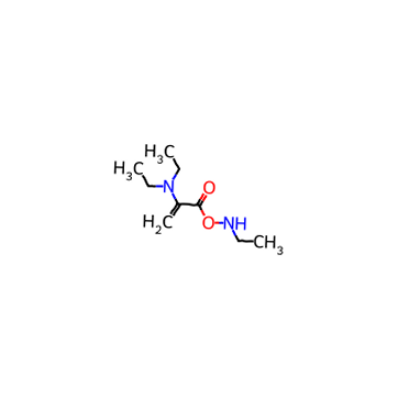 C=C(C(=O)ONCC)N(CC)CC